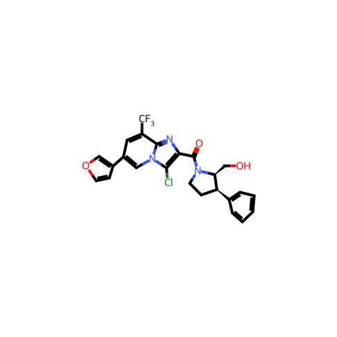 O=C(c1nc2c(C(F)(F)F)cc(-c3ccoc3)cn2c1Cl)N1CC[C@H](c2ccccc2)[C@@H]1CO